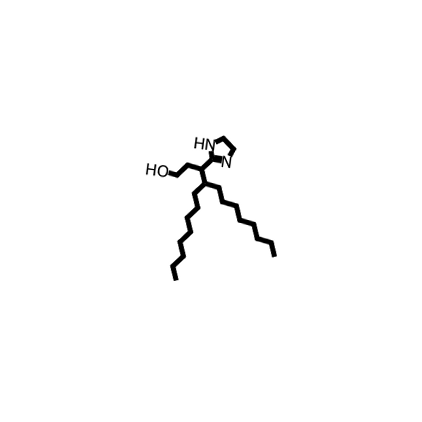 CCCCCCCCC(CCCCCCCC)C(CCO)C1=NCCN1